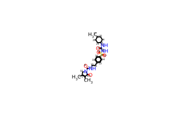 CC1=C(C)C(=O)N(C(=O)NCCc2ccc(S(=O)(=O)NC(=O)NC3CCC(C)CC3)cc2)C1